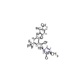 CN/C=C\C(=C/C=O)NC(=O)c1cc(C(F)(F)F)ccc1Oc1ccc(C)c(F)c1F